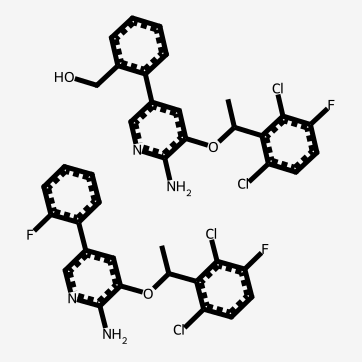 CC(Oc1cc(-c2ccccc2CO)cnc1N)c1c(Cl)ccc(F)c1Cl.CC(Oc1cc(-c2ccccc2F)cnc1N)c1c(Cl)ccc(F)c1Cl